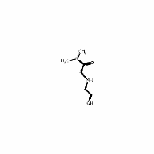 CN(C)C(=O)CNCCO